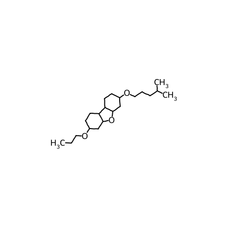 CCCOC1CCC2C(C1)OC1CC(OCCCC(C)C)CCC12